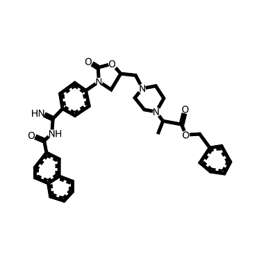 CC(C(=O)OCc1ccccc1)N1CCN(CC2CN(c3ccc(C(=N)NC(=O)c4ccc5ccccc5c4)cc3)C(=O)O2)CC1